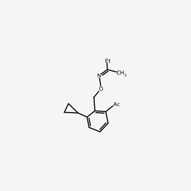 CCC(C)=NOCc1c(C(C)=O)cccc1C1CC1